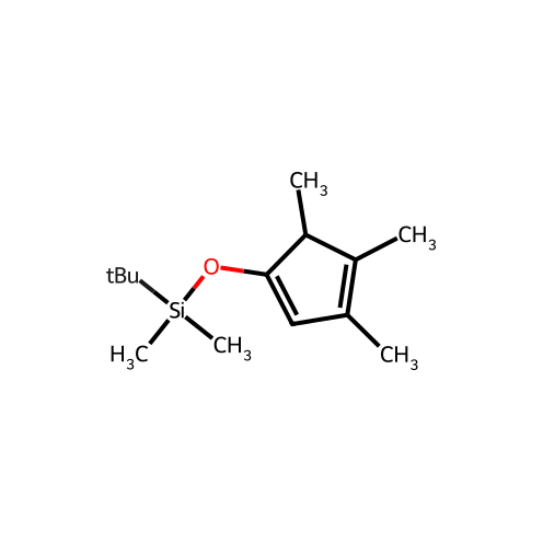 CC1=C(C)C(C)C(O[Si](C)(C)C(C)(C)C)=C1